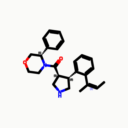 C/C=C(/C)c1ccccc1[C@@H]1CNC[C@H]1C(=O)N1CCOC[C@@H]1c1ccccc1